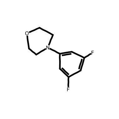 Fc1cc(F)cc(N2CCOCC2)c1